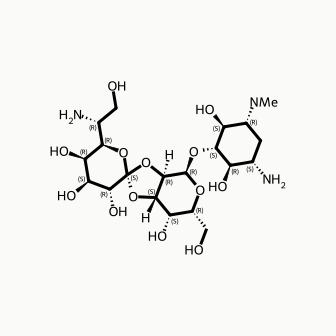 CN[C@@H]1C[C@H](N)[C@@H](O)[C@H](O[C@H]2O[C@H](CO)[C@H](O)[C@@H]3O[C@@]4(O[C@@H]23)O[C@H]([C@H](N)CO)[C@H](O)[C@H](O)[C@H]4O)[C@H]1O